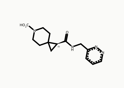 O=C(NCc1cccnn1)[C@H]1CC12CCN(C(=O)O)CC2